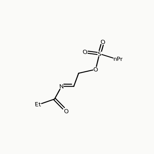 CCCS(=O)(=O)OCC=NC(=O)CC